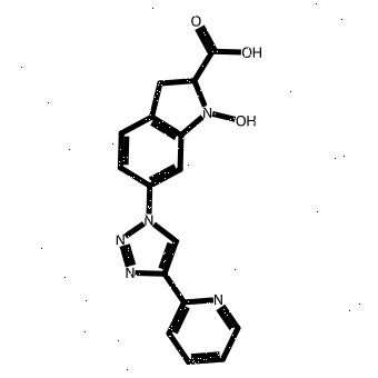 O=C(O)C1Cc2ccc(-n3cc(-c4ccccn4)nn3)cc2N1O